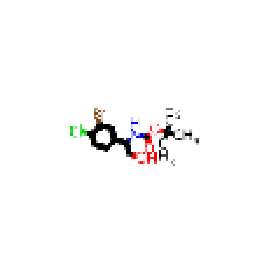 CC(C)(C)OC(=O)NC(CO)c1ccc(Cl)c(Br)c1